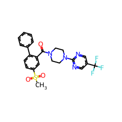 CS(=O)(=O)c1ccc(-c2ccccc2)c(C(=O)N2CCN(c3ncc(C(F)(F)F)cn3)CC2)c1